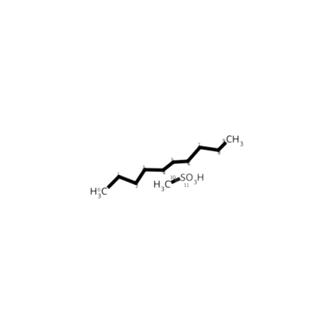 CCCCCCCCCC.CS(=O)(=O)O